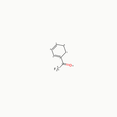 O=C(C1=CC=CCC1)C(F)(F)F